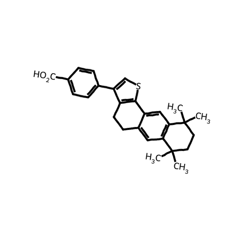 CC1(C)CCC(C)(C)c2cc3c(cc21)CCc1c(-c2ccc(C(=O)O)cc2)csc1-3